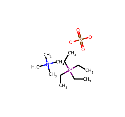 CC[P+](CC)(CC)CC.C[N+](C)(C)C.O=S(=O)([O-])[O-]